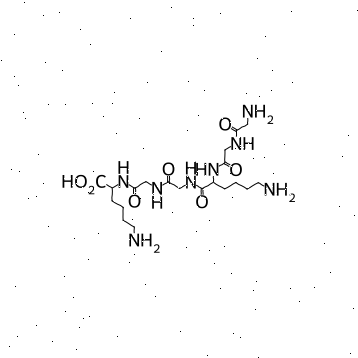 NCCCCC(NC(=O)CNC(=O)CNC(=O)C(CCCCN)NC(=O)CNC(=O)CN)C(=O)O